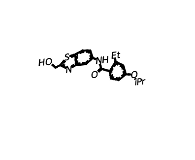 CCc1cc(OC(C)C)ccc1C(=O)Nc1ccc2sc(CO)nc2c1